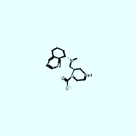 CN(C[C@H]1CNCCN1C(=O)O)[C@H]1CCCc2cccnc21